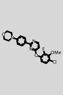 COc1c(Cl)ccc(Oc2ccnc(-c3ccc(N4CCOCC4)cc3)n2)c1F